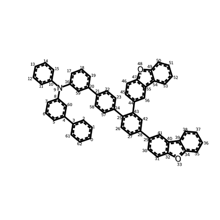 c1ccc(-c2cccc(N(c3ccccc3)c3cccc(-c4ccc(-c5ccc(-c6ccc7oc8ccccc8c7c6)cc5-c5ccc6oc7ccccc7c6c5)cc4)c3)c2)cc1